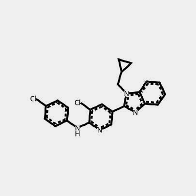 Clc1ccc(Nc2ncc(-c3nc4ccccc4n3CC3CC3)cc2Cl)cc1